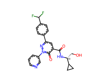 O=C(N[C@H](CO)C1CC1)c1cc(-c2ccc(C(F)F)cc2)nn(-c2cccnc2)c1=O